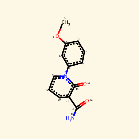 COc1cccc(-n2cccc(C(N)=O)c2=O)c1